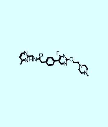 Cc1ccnc(CNC(=O)Cc2ccc(-c3cnc(OCCN4CCN(C)CC4)nc3F)cc2)n1